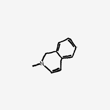 CN1C=Cc2c[c]ccc2C1